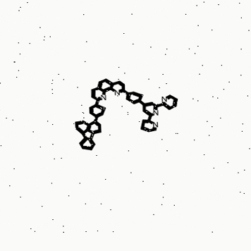 c1ccc(-c2cc(-c3ccc(-c4ccc5ccc6ccc(-c7ccc(-c8ccc9c%10c(cccc8%10)-c8ccccc8-9)cc7)nc6c5n4)cc3)cc(-c3ccccn3)n2)nc1